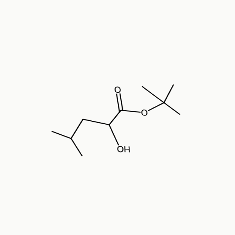 CC(C)CC(O)C(=O)OC(C)(C)C